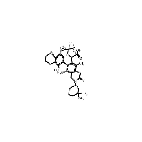 Cc1c(-c2c(C)c3c(c(C)c2C(OC(C)(C)C)C(=O)O)CC(=O)N(C2CCCC(C)(C)C2)C3)cc(F)c2c1CCCO2